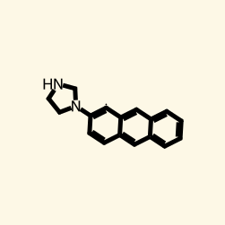 [c]1c(N2CCNC2)ccc2cc3ccccc3cc12